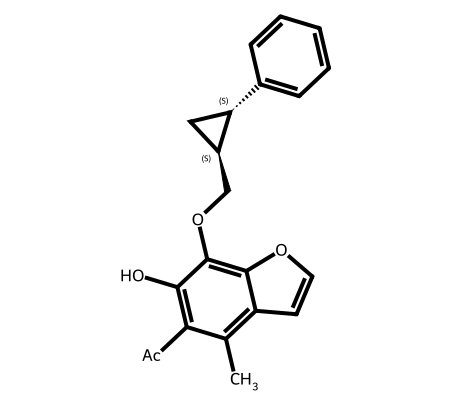 CC(=O)c1c(O)c(OC[C@H]2C[C@@H]2c2ccccc2)c2occc2c1C